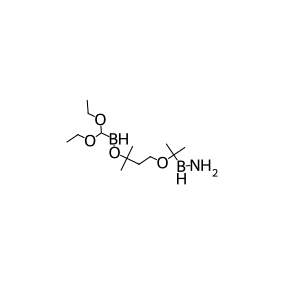 CCOC(BOC(C)(C)CCOC(C)(C)BN)OCC